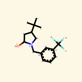 CC(C)(C)C1CC(O)N(Cc2cccc(C(F)(F)F)c2)C1